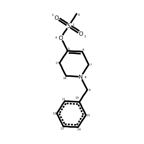 CS(=O)(=O)OC1=CCN(Cc2ccccc2)CC1